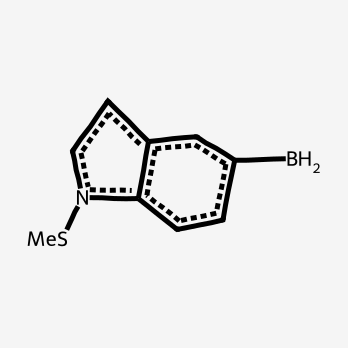 Bc1ccc2c(ccn2SC)c1